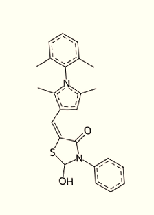 Cc1cccc(C)c1-n1c(C)cc(/C=C2/SC(O)N(c3ccccc3)C2=O)c1C